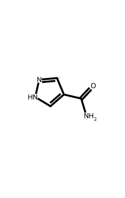 NC(=O)c1[c]n[nH]c1